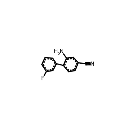 N#Cc1ccc(-c2cccc(F)c2)c(N)c1